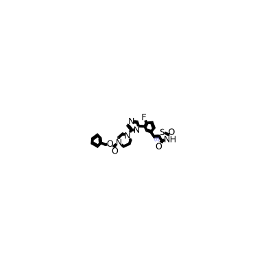 O=C1NC(=O)/C(=C/c2ccc(F)c(-c3cncc(N4CCCN(C(=O)OCc5ccccc5)CC4)n3)c2)S1